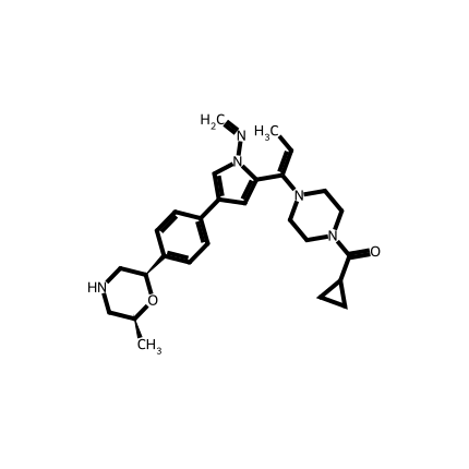 C=Nn1cc(-c2ccc([C@@H]3CNC[C@H](C)O3)cc2)cc1/C(=C\C)N1CCN(C(=O)C2CC2)CC1